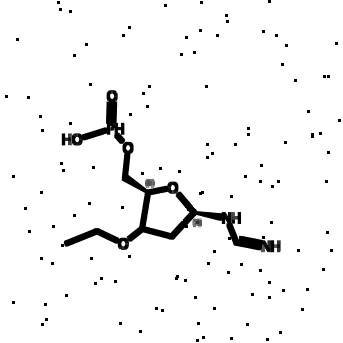 CCOC1C[C@H](NC=N)O[C@@H]1CO[PH](=O)O